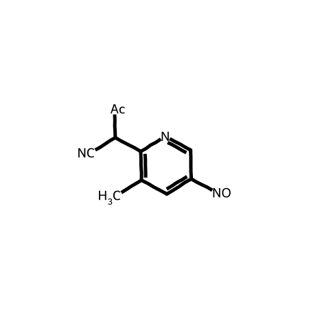 CC(=O)C(C#N)c1ncc(N=O)cc1C